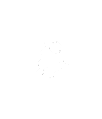 CP(=O)(Oc1ccccc1)Oc1ccccc1.OCCNCCO